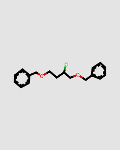 ClC(CCOCc1ccccc1)COCc1ccccc1